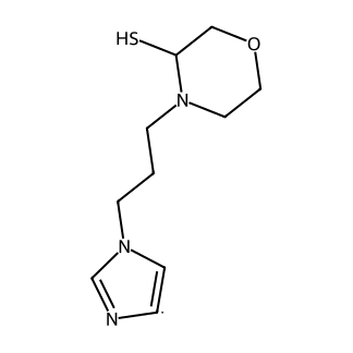 SC1COCCN1CCCn1c[c]nc1